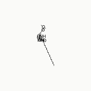 CCC=CCC=CCC=CCC=CCC=CCC=CCCC(=O)NCC(NC(=O)C(C)(C)CCCOc1cc(C)ccc1C)C(=O)O